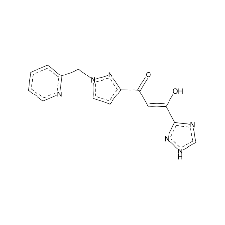 O=C(C=C(O)c1nc[nH]n1)c1ccn(Cc2ccccn2)n1